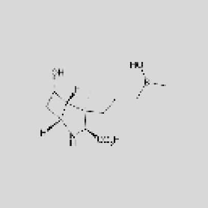 CB(O)CCC[C@]1(C)[C@H]2[C@@H](O)C[C@H]2N[C@@H]1C(=O)O